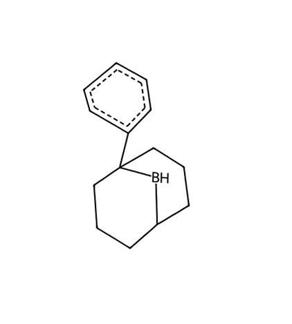 B1C2CCCC1(c1ccccc1)CCC2